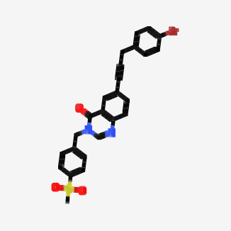 CS(=O)(=O)c1ccc(Cn2cnc3ccc(C#CCc4ccc(Br)cc4)cc3c2=O)cc1